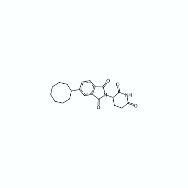 O=C1CCC(N2C(=O)c3ccc(C4CCCCCCC4)cc3C2=O)C(=O)N1